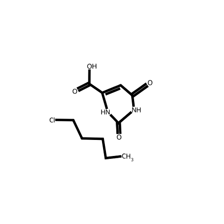 CCCCCCl.O=C(O)c1cc(=O)[nH]c(=O)[nH]1